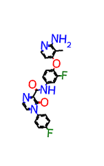 Cc1c(Oc2ccc(NC(=O)c3nccn(-c4ccc(F)cc4)c3=O)cc2F)ccnc1N